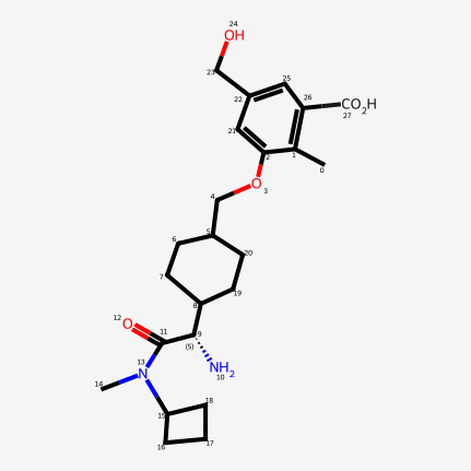 Cc1c(OCC2CCC([C@H](N)C(=O)N(C)C3CCC3)CC2)cc(CO)cc1C(=O)O